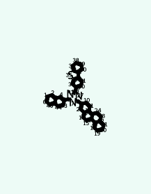 c1ccc2cc(-c3nc(-c4ccc5c(ccc6c7ccccc7ccc56)c4)nc(-c4ccc5c(c4)sc4ccccc45)n3)ccc2c1